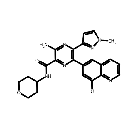 Cn1ccc(-c2nc(N)c(C(=O)NC3CCOCC3)nc2-c2cc(Cl)c3ncccc3c2)n1